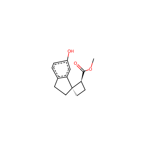 COC(=O)[C@H]1CC[C@@]12CCc1ccc(O)cc12